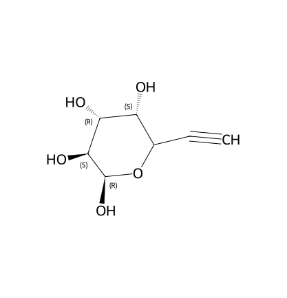 C#CC1O[C@@H](O)[C@@H](O)[C@H](O)[C@@H]1O